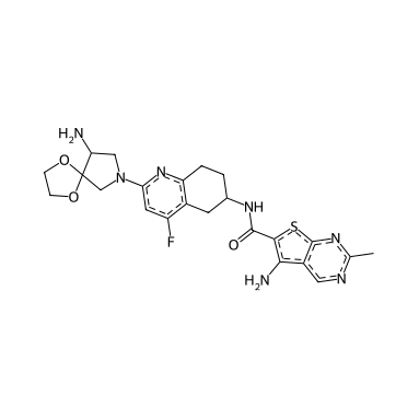 Cc1ncc2c(N)c(C(=O)NC3CCc4nc(N5CC(N)C6(C5)OCCO6)cc(F)c4C3)sc2n1